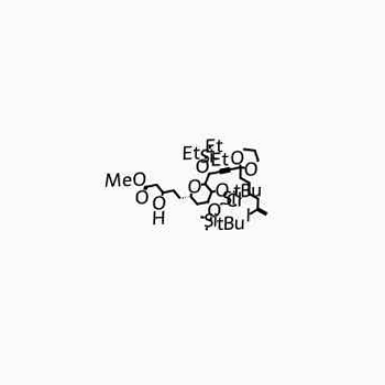 C=C(I)C[C@H](Cl)CCC1(C#CC(O[Si](CC)(CC)CC)C2O[C@@H](CCC(O)CC(=O)OC)CC(O[Si](C)(C)C(C)(C)C)C2O[Si](C)(C)C(C)(C)C)OCCCO1